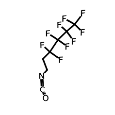 O=C=NCCC(F)(F)C(F)(F)C(F)(F)C(F)(F)F